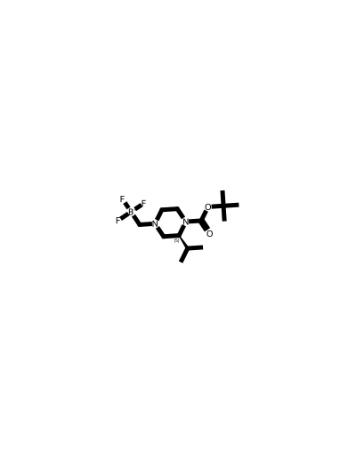 CC(C)[C@H]1CN(C[B-](F)(F)F)CCN1C(=O)OC(C)(C)C